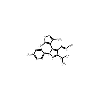 Cc1noc(C)c1-c1c(C=NO)c(C(C)C)nn1-c1ccc(O)cc1